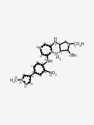 C[C@H]1C(C(C)(C)C)N(C(=O)O)C[C@@H]1Nc1cncc(Nc2ccc(-c3cnn(C)c3)cc2[N+](=O)[O-])n1